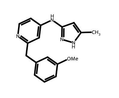 COc1cccc(Cc2cc(Nc3cc(C)[nH]n3)ccn2)c1